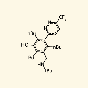 CCCCc1c(O)c(CCCC)c(-c2ccc(C(F)(F)F)nn2)c(CCCC)c1CNC(C)(C)C